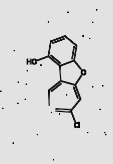 C=C(Cl)/C=c1/oc2cccc(O)c2/c1=C/C